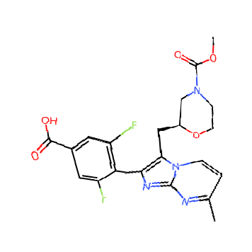 COC(=O)N1CCO[C@@H](Cc2c(-c3c(F)cc(C(=O)O)cc3F)nc3nc(C)ccn23)C1